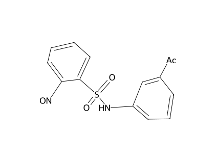 CC(=O)c1cccc(NS(=O)(=O)c2ccccc2N=O)c1